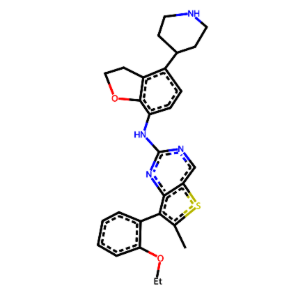 CCOc1ccccc1-c1c(C)sc2cnc(Nc3ccc(C4CCNCC4)c4c3OCC4)nc12